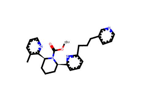 Cc1cccnc1[C@@H]1CCC[C@H](c2cccc(CCCc3cccnc3)n2)N1C(=O)OC(C)(C)C